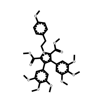 COC(=O)c1c(-c2cc(OC)c(OC)c(OC)c2)c(-c2cc(OC)c(OC)c(OC)c2)c(C(=O)OC)n1CCc1ccc(OC)cc1